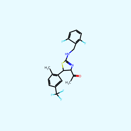 CC(=O)C1N=C(NCc2c(F)cccc2F)SC1c1cc(C(F)(F)F)ccc1C